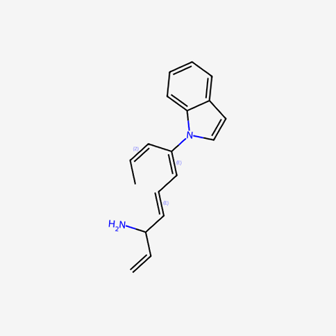 C=CC(N)/C=C/C=C(\C=C/C)n1ccc2ccccc21